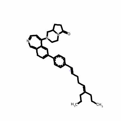 CCCC(=CCC/C=C/c1ccc(C2=CCC3=CN=CC=C(N4CCN5C(=O)CCC5C4)C3=C2)cc1)CCC